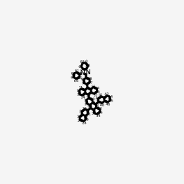 C1=Cc2nc(-c3ccc(-c4c5ccccc5c(-c5ccc6c(-c7ccc8ccccc8c7)c7ccccc7c(-c7ccc8ccccc8c7)c6c5)c5ccccc45)cc3)n(-c3ccccc3)c2CC1